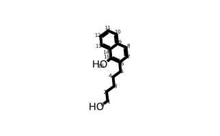 OCCCCCc1ccc2ccccc2c1O